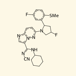 CSc1ccc(F)cc1C1CC(F)CN1c1ccc2ncc(/C(=N/C#N)NC3CCCCC3)n2n1